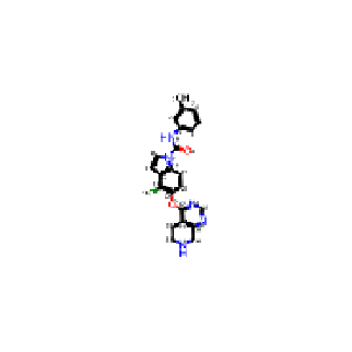 Cc1cccc(NC(=O)n2ccc3c(F)c(Oc4ncnc5c4CCNC5)ccc32)c1